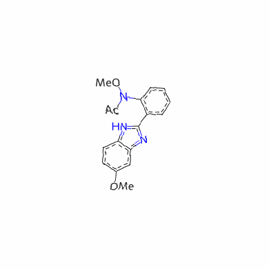 COc1ccc2[nH]c(-c3ccccc3N(OC)C(C)=O)nc2c1